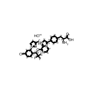 Cc1ccn(-c2cc(Cl)ccc2[C@@H](Oc2nccn3c(-c4ccc(C[C@H](N)C(=O)O)cc4)cnc23)C(F)(F)F)n1.Cl